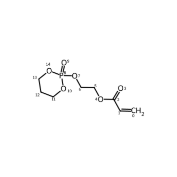 C=CC(=O)OCCOP1(=O)OCCCO1